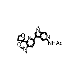 CC(=O)Nc1cc2c(-c3ccc4c(n3)C3(CCOC3)OCN4C)cn(C)c2cn1